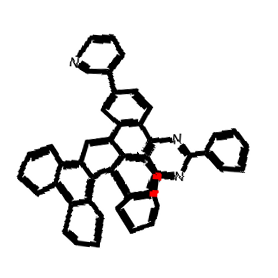 c1ccc(-c2nc(-c3ccccc3)nc(-c3ccc(-c4cccnc4)cc3-c3cc4c5ccccc5c5ccccc5c4c4ccccc34)n2)cc1